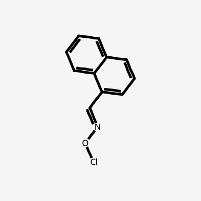 ClON=Cc1cccc2ccccc12